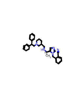 C[C@H](NCC1CCCN(CC(c2ccccc2)c2ccccc2)C1)c1cncn1Cc1ccccc1C#N